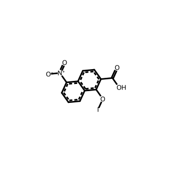 O=C(O)c1ccc2c([N+](=O)[O-])cccc2c1OI